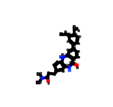 CCN(CC)C(=O)CCc1ccc2c(c1)NC(=O)c1ccc(-c3ccc([N+](=O)[O-])c(OC)c3)cc1N2